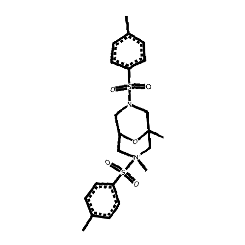 Cc1ccc(S(=O)(=O)N2CC3C[N+](C)(S(=O)(=O)c4ccc(C)cc4)CC(C)(C2)O3)cc1